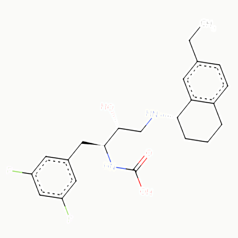 CCc1ccc2c(c1)[C@@H](NC[C@@H](O)[C@H](Cc1cc(F)cc(F)c1)NC(=O)O)CCC2